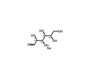 O=C[C@@H](O)[C@H](O)[C@@H](O)[C@H](O)CO.[Na]